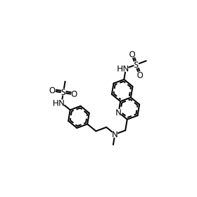 CN(CCc1ccc(NS(C)(=O)=O)cc1)Cc1ccc2cc(NS(C)(=O)=O)ccc2n1